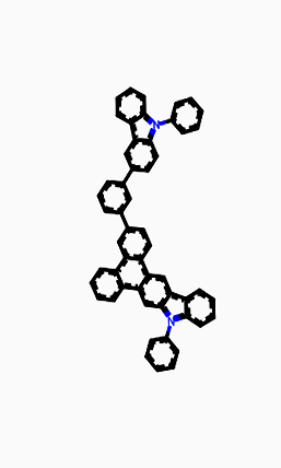 c1ccc(-n2c3ccccc3c3cc(-c4cccc(-c5ccc6c(c5)c5ccccc5c5cc7c(cc65)c5ccccc5n7-c5ccccc5)c4)ccc32)cc1